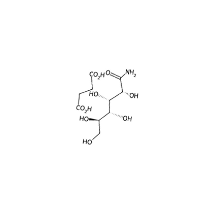 NC(=O)[C@H](O)[C@@H](O)[C@H](O)[C@H](O)CO.O=C(O)CCC(=O)O